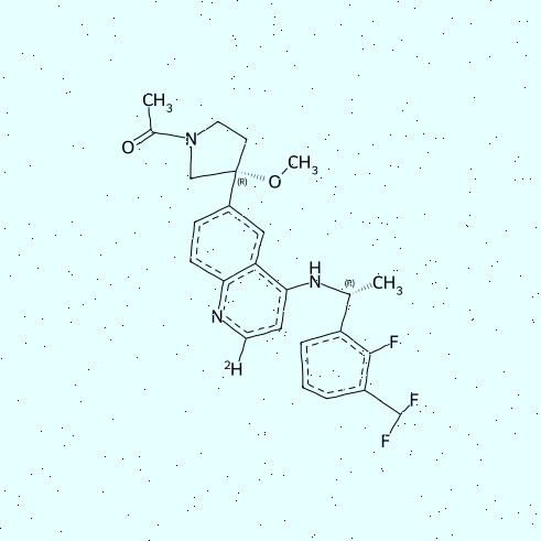 [2H]c1cc(N[C@H](C)c2cccc(C(F)F)c2F)c2cc([C@]3(OC)CCN(C(C)=O)C3)ccc2n1